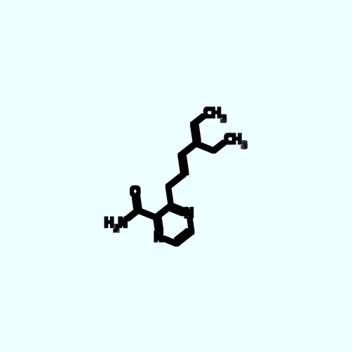 C/C=C(/C=C/Cc1nccnc1C(N)=O)CC